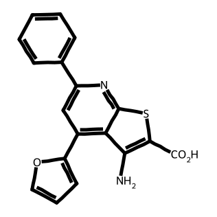 Nc1c(C(=O)O)sc2nc(-c3ccccc3)cc(-c3ccco3)c12